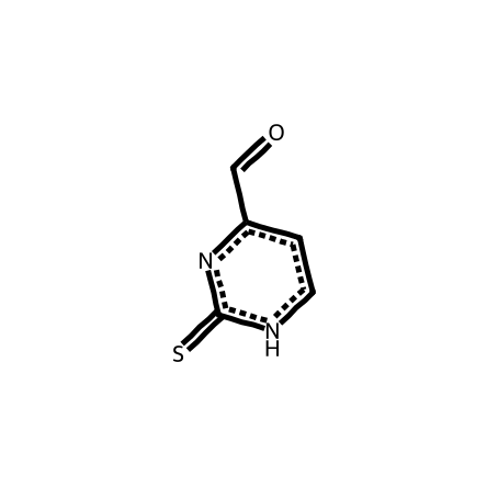 O=Cc1cc[nH]c(=S)n1